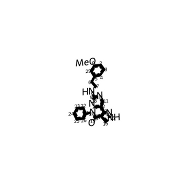 COc1cccc(CCNc2ncc3c4n[nH]cc4c(=O)n(-c4ccccc4)c3n2)c1